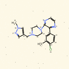 Cc1cc(-c2nccnc2N2CCN(Cc3cnn(C)c3)CC2)ccc1Cl